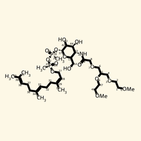 COCCOCC(COCC(=O)N[C@@H]1C(CO)O[C@H](O[P@](C)(=O)O[P@](C)(=O)OC/C=C(/C)CC/C=C(\C)CCC=C(C)C)C(O)[C@H]1O)OCCOC